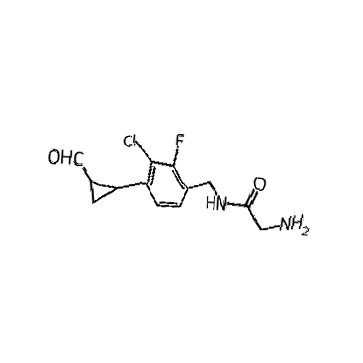 NCC(=O)NCc1ccc(C2CC2C=O)c(Cl)c1F